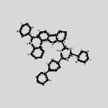 c1ccc(-c2ccc(-c3nc(-c4ccccc4)nc(-c4cccc5c4sc4c5ccc5c(-c6ccccc6)nc6ccccc6c54)n3)cc2)cc1